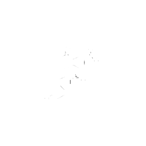 Cc1cc(=O)oc2cc(Oc3c([N+](=O)[O-])cc([N+](=O)[O-])cc3[N+](=O)[O-])ccc12